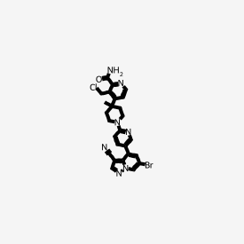 CC1(c2ccnc(C(N)=O)c2CCl)CCN(c2ccc(-c3cc(Br)cn4ncc(C#N)c34)cn2)CC1